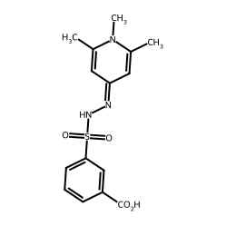 Cc1cc(=NNS(=O)(=O)c2cccc(C(=O)O)c2)cc(C)n1C